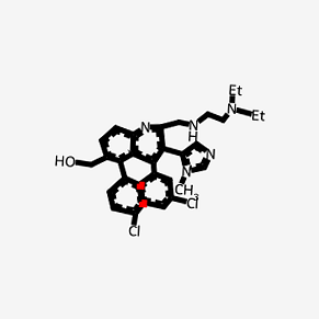 CCN(CC)CCNCc1nc2ccc(CO)c(-c3ccc(Cl)cc3)c2c(-c2cccc(Cl)c2)c1-c1cncn1C